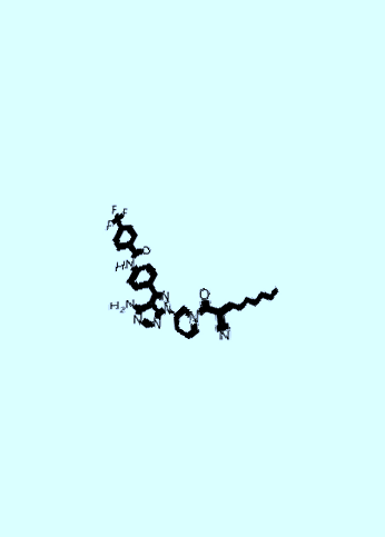 CCCCCC/C=C(\C#N)C(=O)N1CCC[C@@H](n2nc(-c3ccc(NC(=O)c4ccc(C(F)(F)F)cc4)cc3)c3c(N)ncnc32)C1